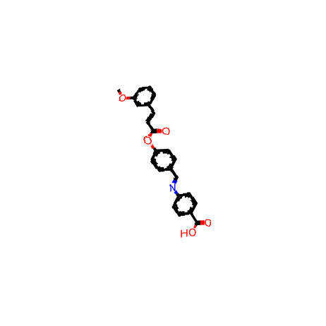 COc1cccc(/C=C/C(=O)Oc2ccc(/C=N/c3ccc(C(=O)O)cc3)cc2)c1